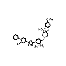 CC(C)(C)N.COc1ccc(CC2(C(=O)O)CCN(Cc3ccc(-c4noc(-c5ccc(-c6ccccc6)c(Cl)c5)n4)cc3)CC2)cc1